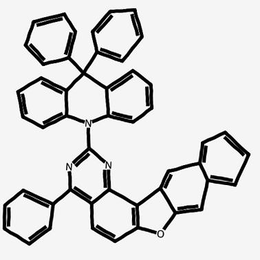 c1ccc(-c2nc(N3c4ccccc4C(c4ccccc4)(c4ccccc4)c4ccccc43)nc3c2ccc2oc4cc5ccccc5cc4c23)cc1